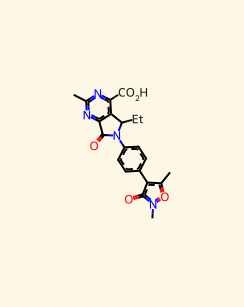 CCC1c2c(C(=O)O)nc(C)nc2C(=O)N1c1ccc(-c2c(C)on(C)c2=O)cc1